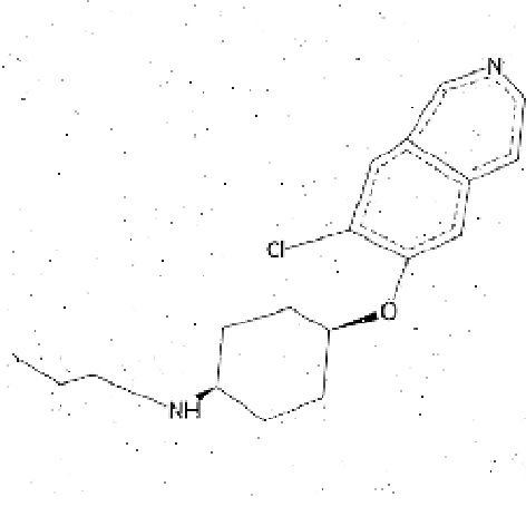 CCCN[C@H]1CC[C@@H](Oc2cc3ccncc3cc2Cl)CC1